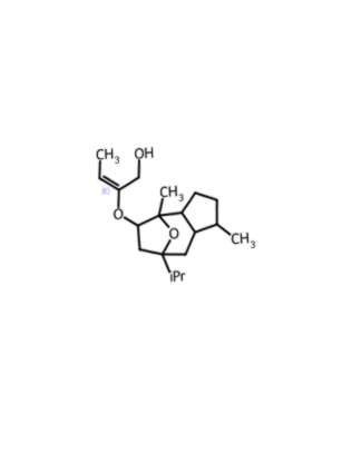 C/C=C(\CO)OC1CC2(C(C)C)CC3C(C)CCC3C1(C)O2